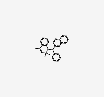 CC1=CC(C)(C)N(N(c2ccccc2)c2ccc3ccccc3c2)c2ccccc21